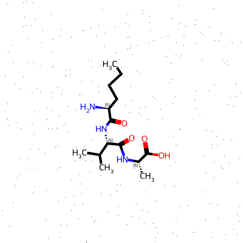 CCCC[C@H](N)C(=O)N[C@H](C(=O)N[C@@H](C)C(=O)O)C(C)C